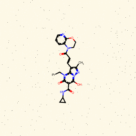 Cc1nn2c(O)c(C(=O)NC3CC3)c(=O)n(CC(C)C)c2c1/C=C/C(=O)N1CCOc2ncccc21